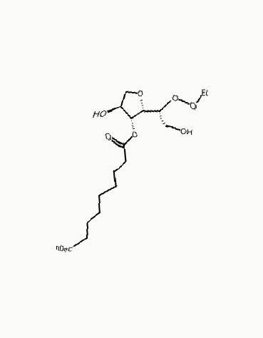 CCCCCCCCCCCCCCCCCC(=O)O[C@H]1[C@@H]([C@@H](CO)OOCC)OC[C@@H]1O